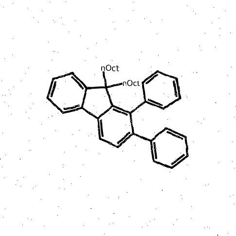 CCCCCCCCC1(CCCCCCCC)c2ccccc2-c2ccc(-c3ccccc3)c(-c3ccccc3)c21